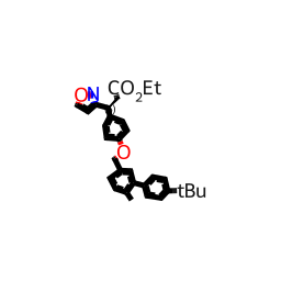 CCOC(=O)C[C@@H](c1ccc(OCc2ccc(C)c(-c3ccc(C(C)(C)C)cc3)c2)cc1)c1ccon1